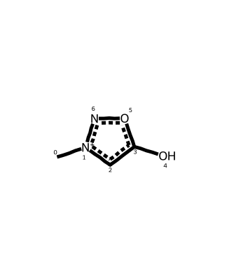 C[n+]1cc(O)on1